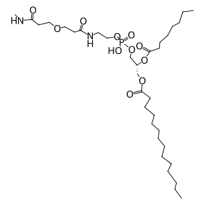 CCCCCCCCCCCCCC(=O)OC[C@H](COP(=O)(O)OCCNC(=O)CCOCCC(=O)NC)OC(=O)CCCCCCC